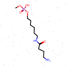 COP(=O)(O)OCCCCCCNC(=O)CCCN